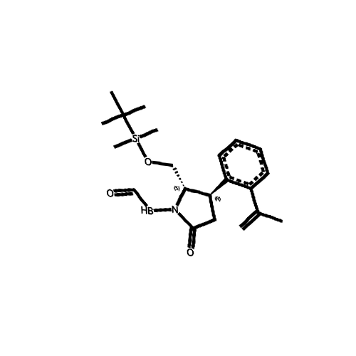 C=C(C)c1ccccc1[C@H]1CC(=O)N(BC=O)[C@@H]1CO[Si](C)(C)C(C)(C)C